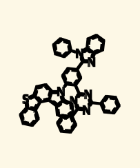 c1ccc(-c2nc(-c3ccccc3)nc(-c3cc(-c4nc5ccccc5n4-c4ccccc4)ccc3-n3c4ccccc4c4c5c(ccc43)sc3ccccc35)n2)cc1